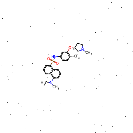 CN1CC[C@@H](Oc2cc(NS(=O)(=O)c3cccc4c(N(C)C)cccc34)ccc2C(F)(F)F)C1